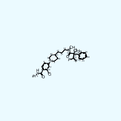 CC(C)NC(=O)c1ccc(N2CCC(CCCN(C)C(=O)C(O)(c3ccccc3)C(F)F)CC2)cc1Cl